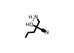 CCCC(O)(C#N)CN